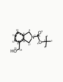 CC(C)(C)OC(=O)N1Cc2cccc(CO)c2C1